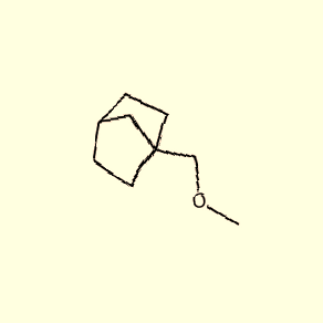 COCC12CCC(CC1)C2